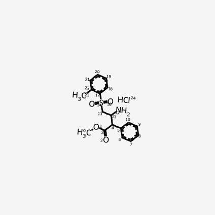 COC(=O)C(c1ccccc1)C(N)CS(=O)(=O)c1ccccc1C.Cl